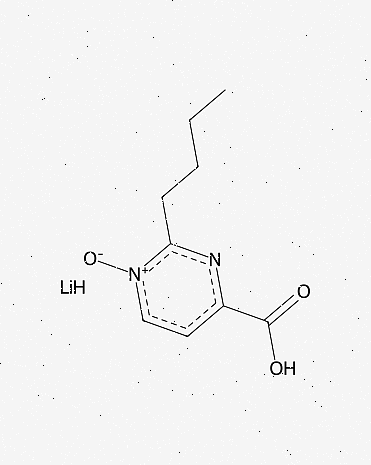 CCCCc1nc(C(=O)O)cc[n+]1[O-].[LiH]